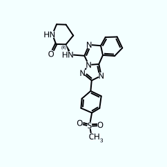 CS(=O)(=O)c1ccc(-c2nc3c4ccccc4nc(N[C@@H]4CCCNC4=O)n3n2)cc1